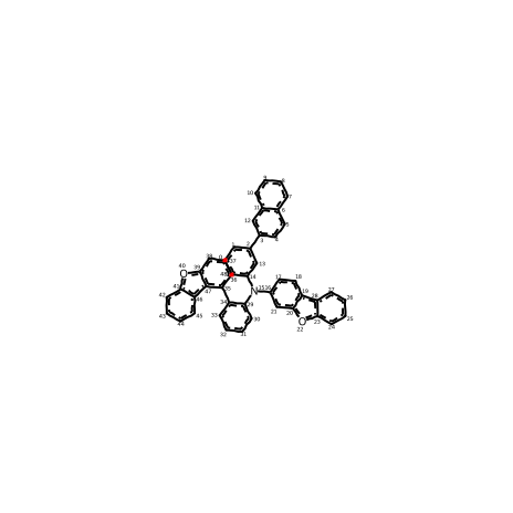 c1cc(-c2ccc3ccccc3c2)cc(N(c2ccc3c(c2)oc2ccccc23)c2ccccc2-c2cccc3oc4ccccc4c23)c1